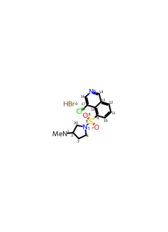 Br.CNC1CCN(S(=O)(=O)c2cccc3cncc(Cl)c23)C1